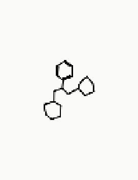 c1ccc(C(CC2CCCCC2)CC2CCCCC2)cc1